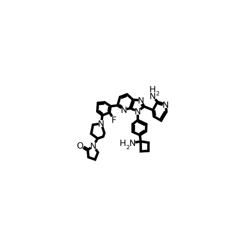 Nc1ncccc1-c1nc2ccc(-c3cccc(N4CCC(N5CCCC5=O)CC4)c3F)nc2n1-c1ccc(C2(N)CCC2)cc1